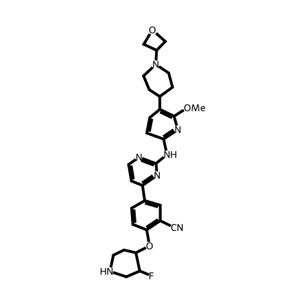 COc1nc(Nc2nccc(-c3ccc(OC4CCNCC4F)c(C#N)c3)n2)ccc1C1CCN(C2COC2)CC1